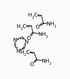 C=CC(N)=O.C=CC(N)=O.C=CC(N)=O.c1ncncn1